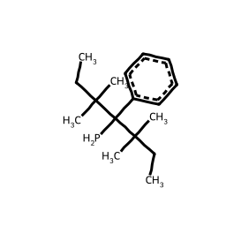 CCC(C)(C)C(P)(c1ccccc1)C(C)(C)CC